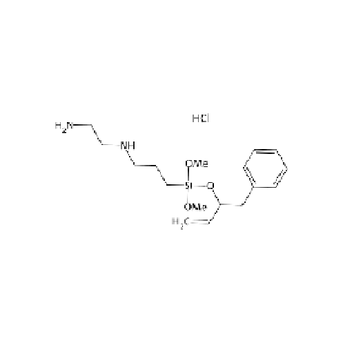 C=CC(Cc1ccccc1)O[Si](CCCNCCN)(OC)OC.Cl